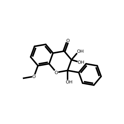 COc1cccc2c1OC(O)(c1ccccc1)C(O)(O)C2=O